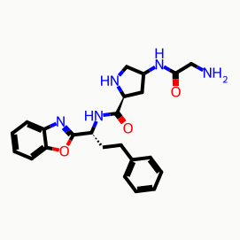 NCC(=O)NC1CN[C@H](C(=O)N[C@H](CCc2ccccc2)c2nc3ccccc3o2)C1